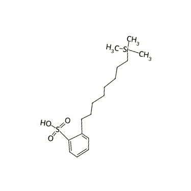 C[Si](C)(C)CCCCCCCCc1ccccc1S(=O)(=O)O